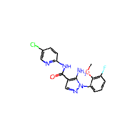 COc1c(F)cccc1-n1ncc(C(=O)Nc2ccc(Cl)cn2)c1N